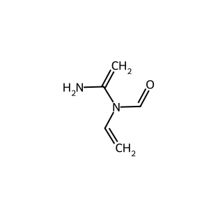 C=CN(C=O)C(=C)N